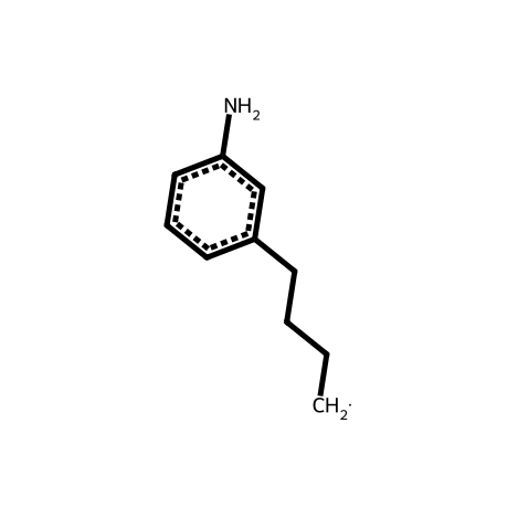 [CH2]CCCc1cccc(N)c1